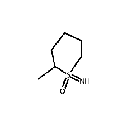 CC1CCCCS1(=N)=O